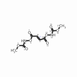 COC(=O)NOC(=O)/C=C/C(=O)ONC(=O)OC